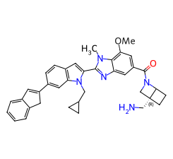 COc1cc(C(=O)N2C[C@]3(CN)CCC23)cc2nc(-c3cc4ccc(C5=Cc6ccccc6C5)cc4n3CC3CC3)n(C)c12